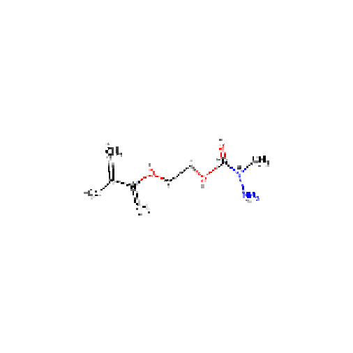 C=C(C)C(=C)OCCOC(=O)N(C)N